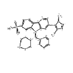 Cc1nnn(C)c1-c1cnc2c3ccc(S(C)(=N)=O)cc3n([C@H](c3ccccc3)C3CCOCC3)c2c1